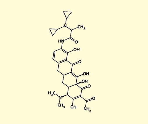 CC(C(=O)Nc1ccc2c(c1O)C(=O)C1=C(O)[C@]3(O)C(=O)C(C(N)=O)=C(O)[C@@H](N(C)C)C3CC1C2)N(C1CC1)C1CC1